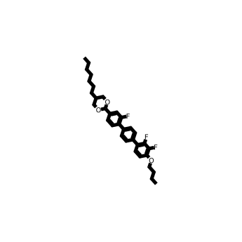 CCCCCCCC1COC(c2ccc(-c3ccc(-c4ccc(OCCCC)c(F)c4F)cc3)c(F)c2)OC1